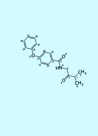 CC(C)C(=O)CNC(=O)c1ccc(Oc2ccccc2)cc1